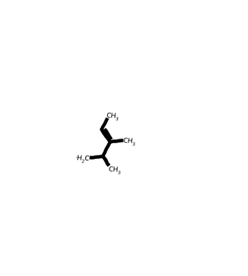 [CH2]C(C)C(C)=CC